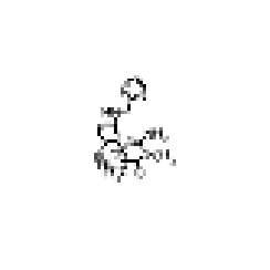 CN1C(=O)C(C)(C)[C@@](C)(c2cc(NCc3ncccn3)ccc2F)N=C1N